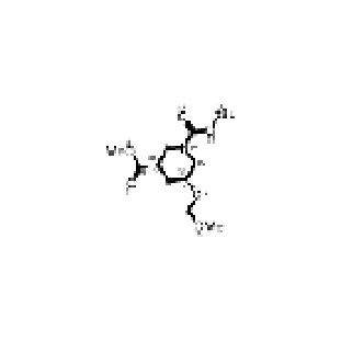 COCO[C@H]1C[C@@H](C(=O)OC)CN(C(=O)OC(C)(C)C)C1